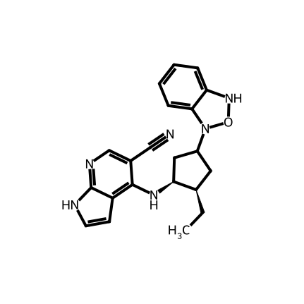 CC[C@@H]1CC(N2ONc3ccccc32)C[C@@H]1Nc1c(C#N)cnc2[nH]ccc12